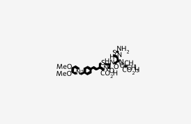 COc1cc[n+](Cc2ccc(/C=C/C3=C(C(=O)O)N4C(=O)[C@@H](NC(=O)/C(=N\OC(C)(C)C(=O)O)c5csc(N)n5)[C@H]4SC3)cc2)cc1OC